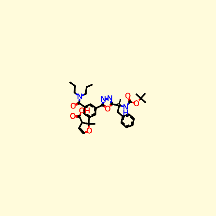 CCCN(CCC)C(=O)c1cc(-c2nnc([C@@](C)(Cc3ccccc3)NC(=O)OC(C)(C)C)o2)cc(C2(C)OC=CC2C(=O)O)c1